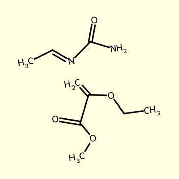 C=C(OCC)C(=O)OC.CC=NC(N)=O